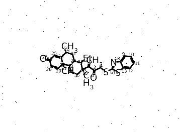 C=C(C(=O)CSc1nc2ccccc2s1)C1(C)CCC2C(C[C@H](C)C3=CC(=O)C=CC32C)C1CC